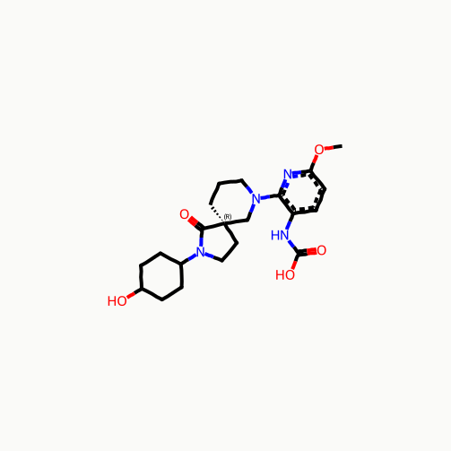 COc1ccc(NC(=O)O)c(N2CCC[C@@]3(CCN(C4CCC(O)CC4)C3=O)C2)n1